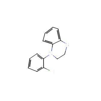 Clc1ccccc1N1CCNc2ccccc21